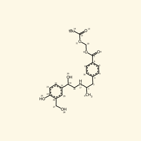 CC(Cc1ccc(C(=O)OCOC(=O)C(C)(C)C)cc1)NCC(O)c1ccc(O)c(CO)c1